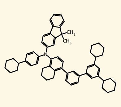 CC1(C)c2ccccc2-c2ccc(N(c3ccc(C4CCCCC4)cc3)c3ccc(-c4cccc(-c5cc(C6CCCCC6)cc(C6CCCCC6)c5)c4)c4c3CCCC4)cc21